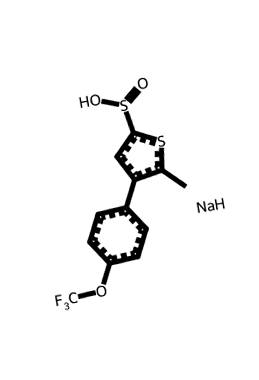 Cc1sc(S(=O)O)cc1-c1ccc(OC(F)(F)F)cc1.[NaH]